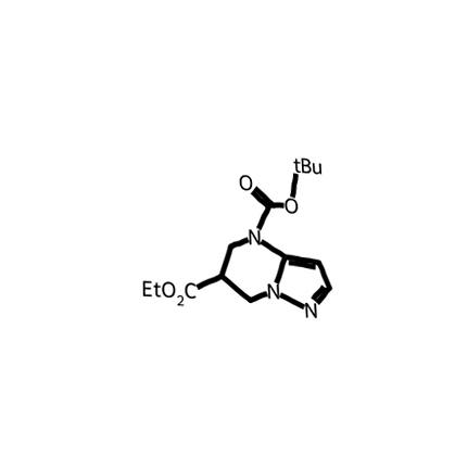 CCOC(=O)C1CN(C(=O)OC(C)(C)C)c2ccnn2C1